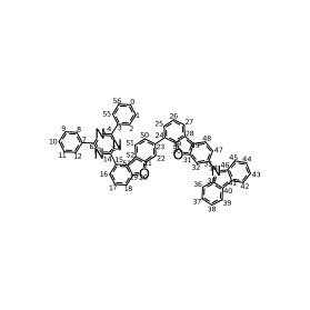 c1ccc(-c2nc(-c3ccccc3)nc(-c3cccc4oc5cc(-c6cccc7c6oc6cc(-n8c9ccccc9c9ccccc98)ccc67)ccc5c34)n2)cc1